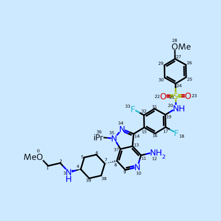 COCCN[C@H]1CC[C@H](c2cnc(N)c3c(-c4cc(F)c(NS(=O)(=O)c5ccc(OC)cc5)cc4F)nn(C(C)C)c32)CC1